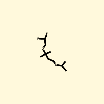 CC(C)OCCC(C)(C)OCC(F)F